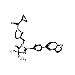 CC1(C)N=C(c2ccc(-c3ccc4[nH]ccc4c3)cc2)N(CC2CCN(C(=O)C3CC3)C2)C1=O